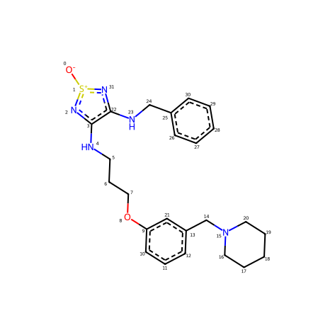 [O-][s+]1nc(NCCCOc2cccc(CN3CCCCC3)c2)c(NCc2ccccc2)n1